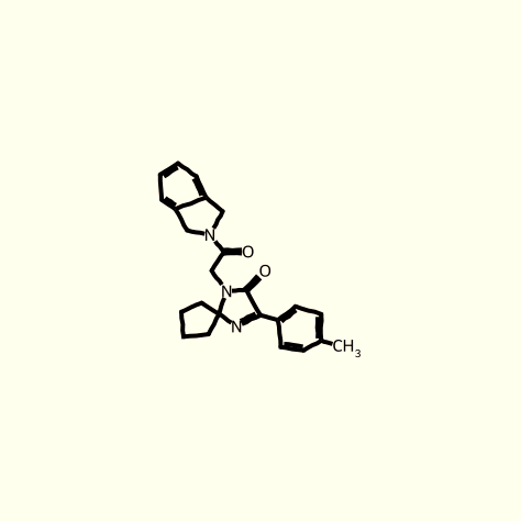 Cc1ccc(C2=NC3(CCCC3)N(CC(=O)N3Cc4ccccc4C3)C2=O)cc1